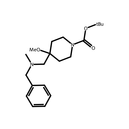 COC1(CN(C)Cc2ccccc2)CCN(C(=O)OC(C)(C)C)CC1